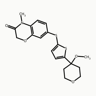 COC1(c2ccc(Sc3ccc4c(c3)OCC(=O)N4C)s2)CCOCC1